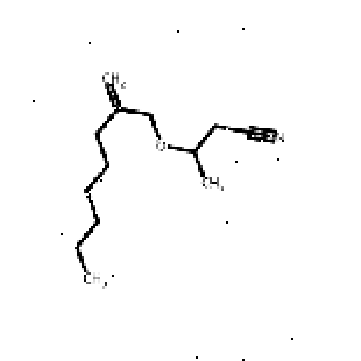 C=C(CCCCCC)COC(C)CC#N